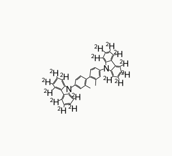 [2H]c1c([2H])c([2H])c2c(c1[2H])c1c([2H])c([2H])c([2H])c([2H])c1n2-c1ccc(-c2ccc(-n3c4c([2H])c([2H])c([2H])c([2H])c4c4c([2H])c([2H])c([2H])c([2H])c43)cc2C)c(C)c1